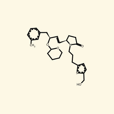 Cc1cccc(C[C@@H](/C=C/[C@H]2CCC(=O)N2CCCc2ccc(CO)s2)OC2CCCCO2)c1